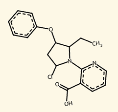 CCC1C(Oc2ccccc2)CC(Cl)N1c1ncccc1C(=O)O